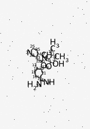 CC[C@H](C)[C@@H](C(=O)O)N(C)C(=O)[C@H](Cc1ccc(C(=N)N)cc1)c1cccnc1